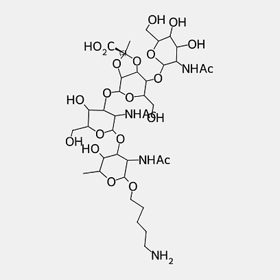 CC(=O)NC1C(OC2C(CO)OC(OC3C(O)C(CO)OC(OC4C(O)C(C)OC(OCCCCCN)C4NC(C)=O)C3NC(C)=O)C3O[C@@](C)(C(=O)O)OC23)OC(CO)C(O)C1O